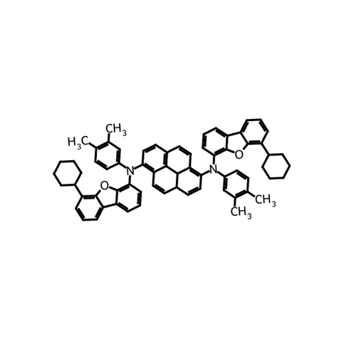 Cc1ccc(N(C2=C3C=Cc4ccc(N(c5ccc(C)c(C)c5)c5cccc6c5oc5c(C7CCCCC7)cccc56)c5c4C3C(C=C2)C=C5)c2cccc3c2oc2c(C4CCCCC4)cccc23)cc1C